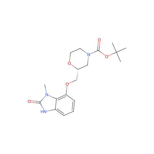 Cn1c(=O)[nH]c2cccc(OC[C@H]3CN(C(=O)OC(C)(C)C)CCO3)c21